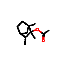 CC(=O)OC1(C)C(C)C2CCC1(C)C2